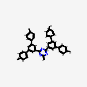 Cc1ccc(-c2cc(-c3ccc(C)cc3)cc(-c3nc(C)nc(-c4cc(-c5ccc(C)cc5)cc(-c5ccc(C)cc5)c4)n3)c2)cc1